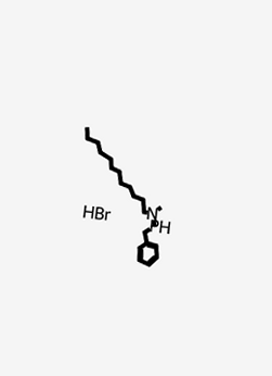 Br.CCCCCCCCCCCCN(C)PCc1ccccc1